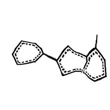 Cc1cccn2cc(-c3ccccc3)cc12